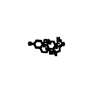 C[C@]12C=CC(=O)C=C1CC[C@]1(N)C2CC[C@]2(C)C(=O)CCC12